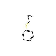 COCSc1ccccc1